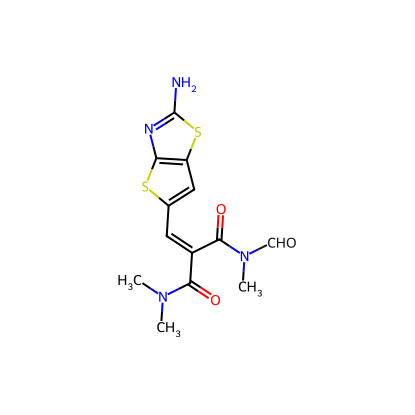 CN(C)C(=O)/C(=C/c1cc2sc(N)nc2s1)C(=O)N(C)C=O